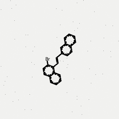 Brc1ccc2ccccc2c1C=Cc1ccc2ccccc2c1